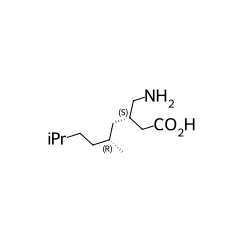 CC(C)CC[C@@H](C)C[C@H](CN)CC(=O)O